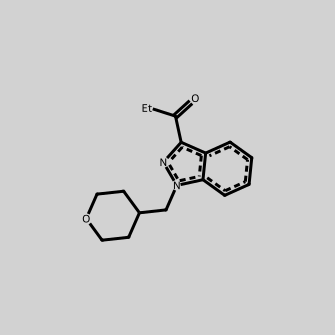 CCC(=O)c1nn(CC2CCOCC2)c2ccccc12